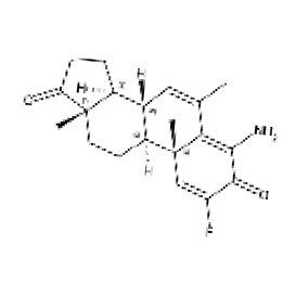 CC1=C[C@@H]2[C@H](CC[C@]3(C)C(=O)CC[C@@H]23)[C@@]2(C)C=C(F)C(=O)C(N)=C12